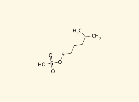 CC(C)CCCSOS(=O)(=O)O